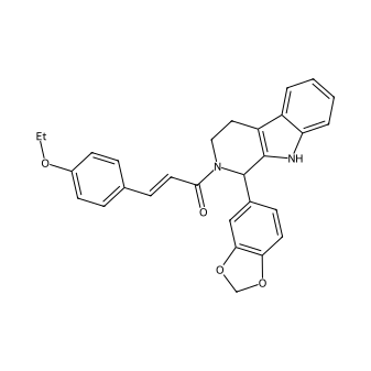 CCOc1ccc(/C=C/C(=O)N2CCc3c([nH]c4ccccc34)C2c2ccc3c(c2)OCO3)cc1